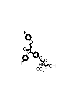 O=C(COc1ccc(C2C(CCOc3ccc(F)cc3)C(=O)N2c2ccc(F)cc2)cc1)N[C@H](CO)C(=O)O